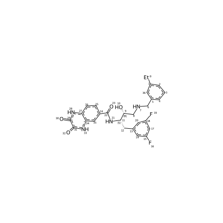 CCc1cccc(CNC[C@@H](O)[C@H](Cc2cc(F)cc(F)c2)NC(=O)c2ccc3[nH]c(=O)c(=O)[nH]c3c2)c1